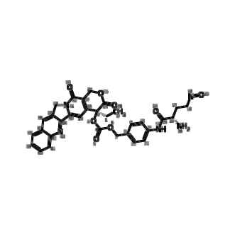 CC[C@@]1(OC(=O)OCc2ccc(NC(=O)[C@@H](N)CCN=O)cc2)C(=O)OCc2c1cc1n(c2=O)Cc2cc3ccccc3nc2-1